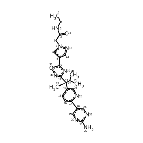 CCNC(=O)Cn1cc(-c2nc([C@@](C)(c3ccc(-c4cnc(N)nc4)nc3)C(C)C)no2)cn1